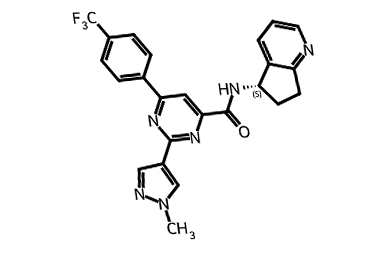 Cn1cc(-c2nc(C(=O)N[C@H]3CCc4ncccc43)cc(-c3ccc(C(F)(F)F)cc3)n2)cn1